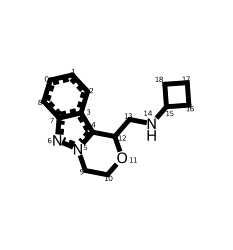 c1ccc2c3n(nc2c1)CCOC3CNC1CCC1